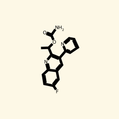 CC(OC(N)=O)c1nc2ccc(F)cc2cc1-c1ccccn1